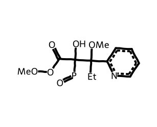 CCC(OC)(c1ccccn1)C(O)(P=O)C(=O)OOC